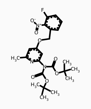 Cc1cc(OCc2cccc(F)c2[N+](=O)[O-])cc(N(C(=O)OC(C)(C)C)C(=O)OC(C)(C)C)n1